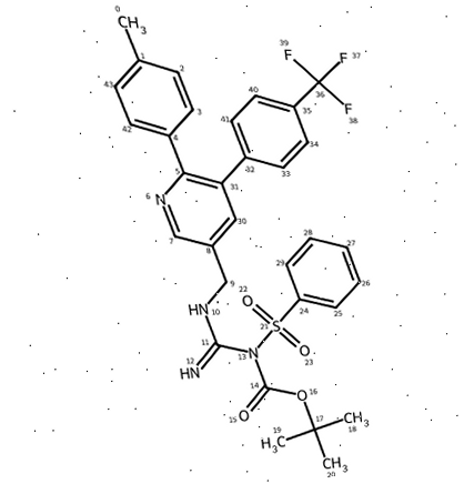 Cc1ccc(-c2ncc(CNC(=N)N(C(=O)OC(C)(C)C)S(=O)(=O)c3ccccc3)cc2-c2ccc(C(F)(F)F)cc2)cc1